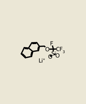 O=[S-](=O)C(F)(OCc1ccc2ccccc2c1)C(F)(F)F.[Li+]